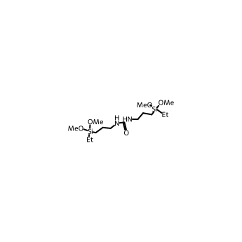 CC[Si](CCCNC(=O)NCCC[Si](CC)(OC)OC)(OC)OC